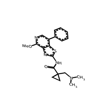 COc1ncc(-c2ccccc2)c2sc(NC(=O)C3(CN(C)C)CC3)nc12